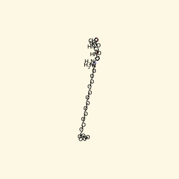 N/C(=C\N(N)CCOCCOCCOCCOCCOCCOCCOCCOCCOCCOCCOCCOCCC(=O)ON1C(=O)CCC1=O)c1cccc(NC(=O)N2CCC3(CC2)NC(=O)N(c2ccccc2Cl)C3=O)c1